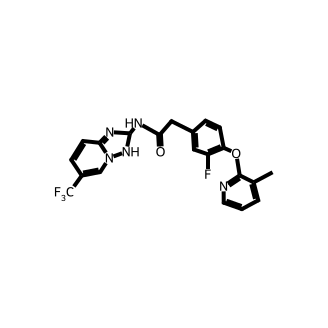 Cc1cccnc1Oc1ccc(CC(=O)NC2N=C3C=CC(C(F)(F)F)=CN3N2)cc1F